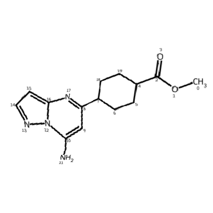 COC(=O)C1CCC(c2cc(N)n3nccc3n2)CC1